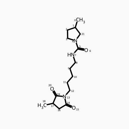 CC1CCN(C(=O)NCCCCCN2C(=O)CC(C)C2=O)C1